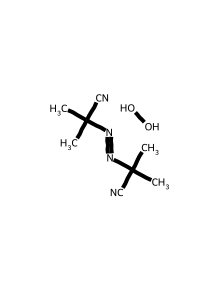 CC(C)(C#N)N=NC(C)(C)C#N.OO